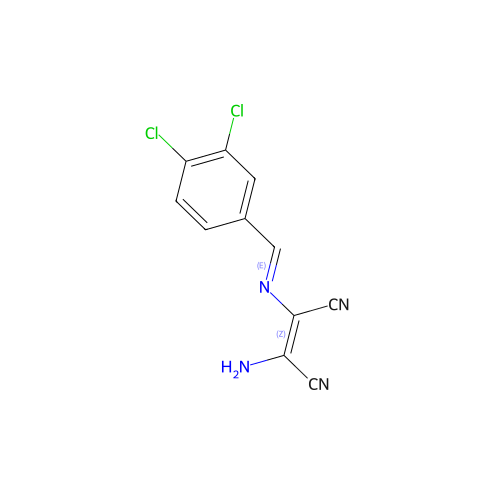 N#C/C(N)=C(C#N)/N=C/c1ccc(Cl)c(Cl)c1